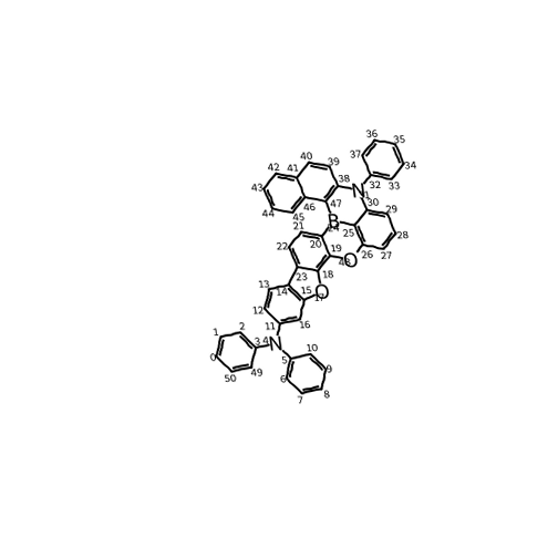 c1ccc(N(c2ccccc2)c2ccc3c(c2)oc2c4c(ccc23)B2c3c(cccc3N(c3ccccc3)c3ccc5ccccc5c32)O4)cc1